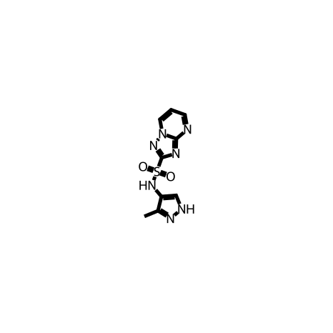 Cc1n[nH]cc1NS(=O)(=O)c1nc2ncccn2n1